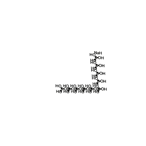 OB(O)O.OB(O)O.OB(O)O.OB(O)O.OB(O)O.OB(O)O.OB(O)O.OB(O)O.OB(O)O.OB(O)O.[NaH]